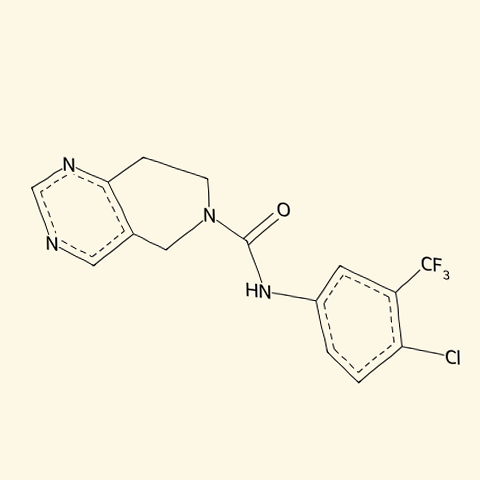 O=C(Nc1ccc(Cl)c(C(F)(F)F)c1)N1CCc2ncncc2C1